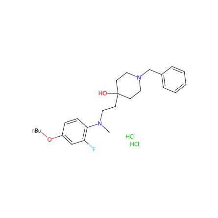 CCCCOc1ccc(N(C)CCC2(O)CCN(Cc3ccccc3)CC2)c(F)c1.Cl.Cl